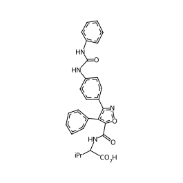 CC(C)C(NC(=O)c1onc(-c2ccc(NC(=O)Nc3ccccc3)cc2)c1-c1ccccc1)C(=O)O